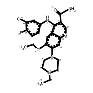 CCOc1cc2c(Nc3ccc(F)c(Cl)c3)c(C(N)=O)cnc2cc1N1CCN(CC)CC1